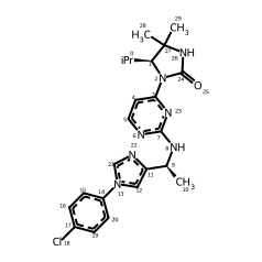 CC(C)[C@@H]1N(c2ccnc(N[C@@H](C)c3cn(-c4ccc(Cl)cc4)cn3)n2)C(=O)NC1(C)C